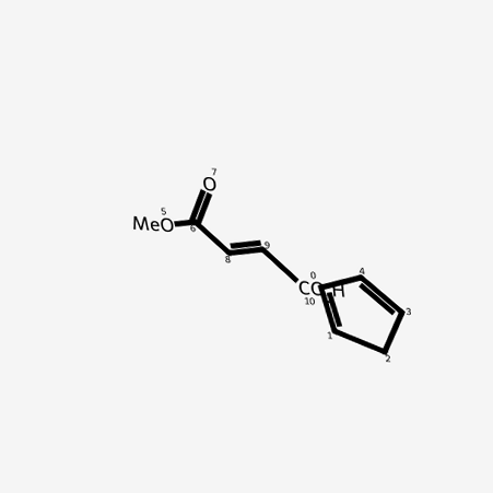 C1=CCC=C1.COC(=O)C=CC(=O)O